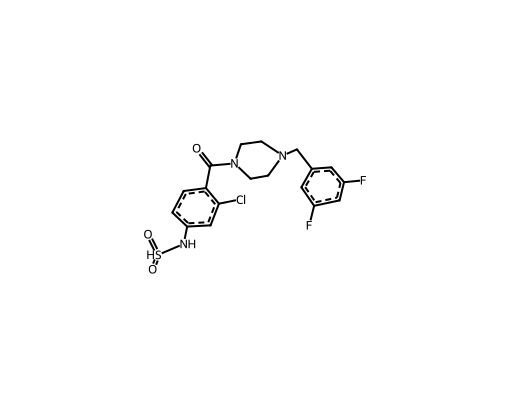 O=C(c1ccc(N[SH](=O)=O)cc1Cl)N1CCN(Cc2cc(F)cc(F)c2)CC1